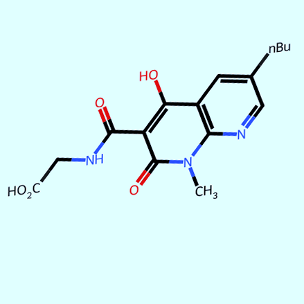 CCCCc1cnc2c(c1)c(O)c(C(=O)NCC(=O)O)c(=O)n2C